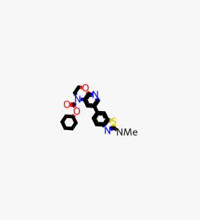 CNc1nc2ccc(-c3cnc4c(c3)N(C(=O)OC3CCCCC3)CCO4)cc2s1